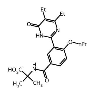 CCCOc1ccc(C(=O)NC(C)(C)C(=O)O)cc1-c1nc(CC)c(CC)c(=O)[nH]1